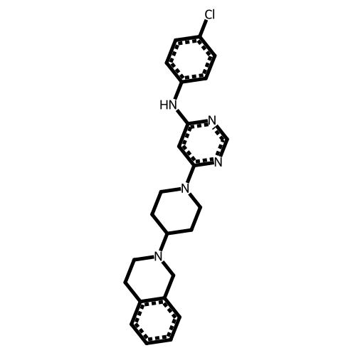 Clc1ccc(Nc2cc(N3CCC(N4CCc5ccccc5C4)CC3)ncn2)cc1